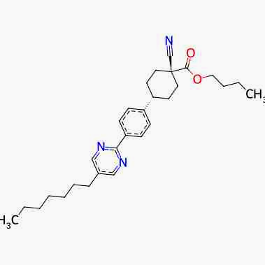 CCCCCCCc1cnc(-c2ccc([C@H]3CC[C@@](C#N)(C(=O)OCCCC)CC3)cc2)nc1